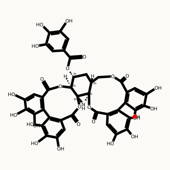 O=C(O[C@@H]1C[C@@H]2COC(=O)c3cc(O)c(O)c(O)c3-c3c(cc(O)c(O)c3O)C(=O)O[C@]23N[C@]32OC(=O)c3cc(O)c(O)c(O)c3-c3c(cc(O)c(O)c3O)C(=O)O[C@@H]12)c1cc(O)c(O)c(O)c1